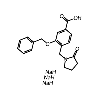 O=C(O)c1ccc(CN2CCCC2=O)c(OCc2ccccc2)c1.[NaH].[NaH].[NaH]